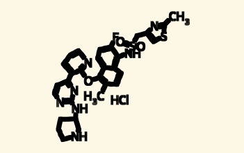 Cc1nc(CS(=O)(=O)Nc2c(F)ccc3c(Oc4ncccc4-c4ccnc(NC5CCCNC5)n4)c(C)ccc23)cs1.Cl